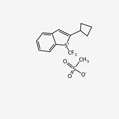 CS(=O)(=O)[O-].FC(F)(F)[s+]1c(C2CCC2)cc2ccccc21